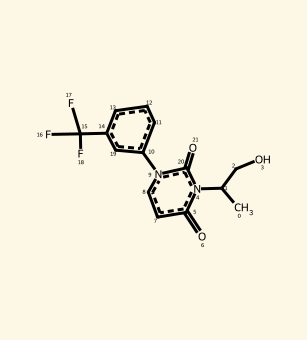 CC(CO)n1c(=O)ccn(-c2cccc(C(F)(F)F)c2)c1=O